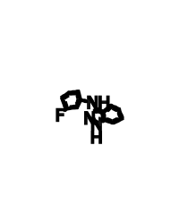 Fc1cccc(Nc2n[nH]c3ccccc23)c1